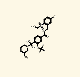 CCS(=O)(=O)c1ccc(Cl)cc1CNC(=O)c1ccc(C(C)(C)N2CCCC(N)C2)c(OC(F)(F)F)c1